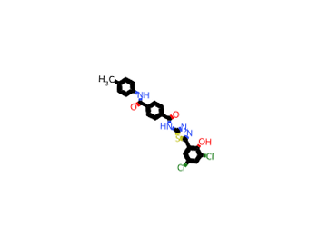 Cc1ccc(NC(=O)c2ccc(C(=O)Nc3nnc(-c4cc(Cl)cc(Cl)c4O)s3)cc2)cc1